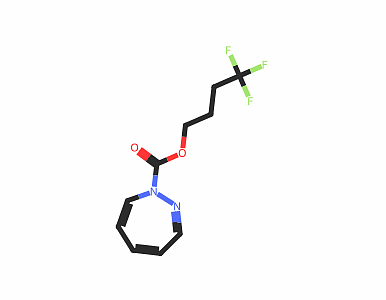 O=C(OCCCC(F)(F)F)N1C=CC=CC=N1